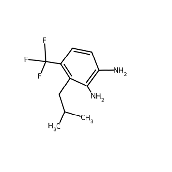 CC(C)Cc1c(C(F)(F)F)ccc(N)c1N